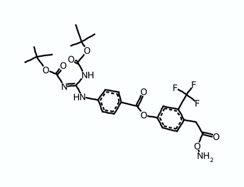 CC(C)(C)OC(=O)/N=C(\NC(=O)OC(C)(C)C)Nc1ccc(C(=O)Oc2ccc(CC(=O)ON)c(C(F)(F)F)c2)cc1